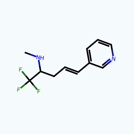 CNC(CC=Cc1cccnc1)C(F)(F)F